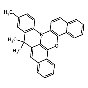 Cc1ccc2c(c1)C(C)(C)c1cc3ccccc3c3c1B2c1ccc2ccccc2c1O3